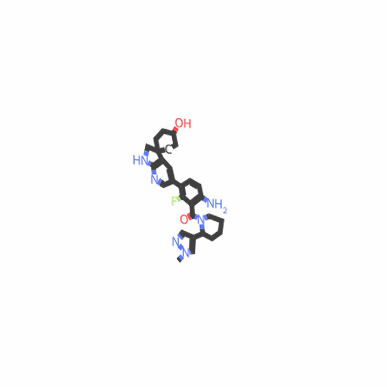 Cn1cc(C2CCCCN2C(=O)c2c(N)ccc(-c3cnc4c(c3)C3(CCC(O)CC3)CN4)c2F)cn1